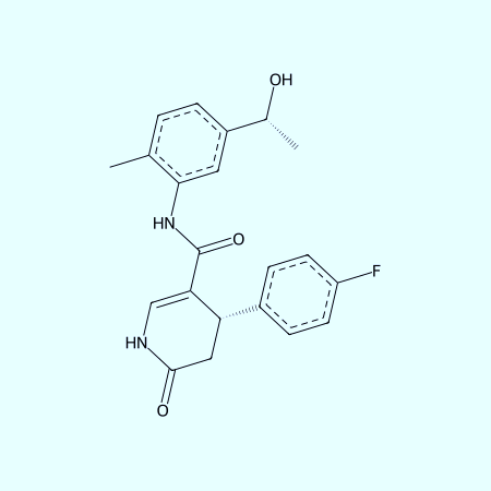 Cc1ccc([C@@H](C)O)cc1NC(=O)C1=CNC(=O)C[C@H]1c1ccc(F)cc1